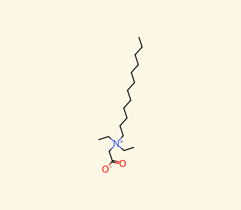 CCCCCCCCCCCC[N+](CC)(CC)CC(=O)[O-]